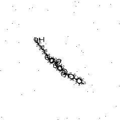 CC1CCC(C2CCC(C(=O)Oc3ccc(OC(=O)c4ccc(OCCCCCCCCO)cc4)cc3)CC2)CC1